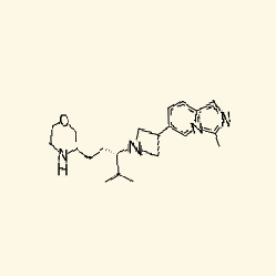 Cc1ncc2ccc(C3CN([C@@H](CC[C@@H]4COCCN4)C(C)C)C3)cn12